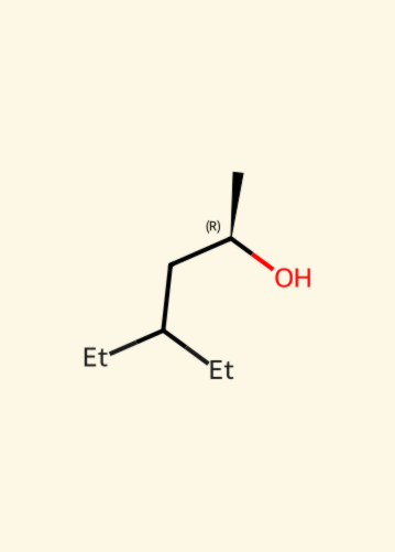 CCC(CC)C[C@@H](C)O